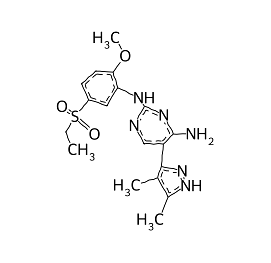 CCS(=O)(=O)c1ccc(OC)c(Nc2ncc(-c3n[nH]c(C)c3C)c(N)n2)c1